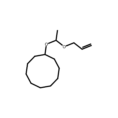 C=CCOC(C)OC1CCCCCCCCC1